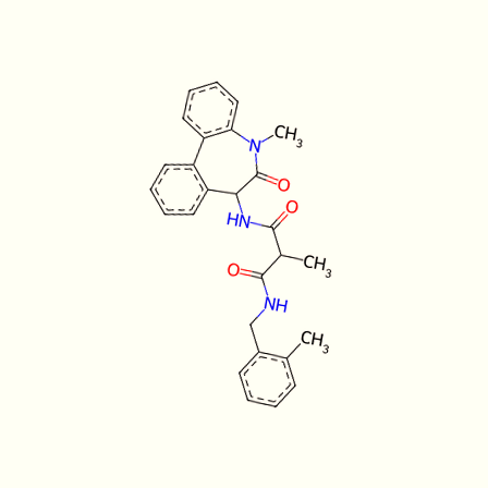 Cc1ccccc1CNC(=O)C(C)C(=O)NC1C(=O)N(C)c2ccccc2-c2ccccc21